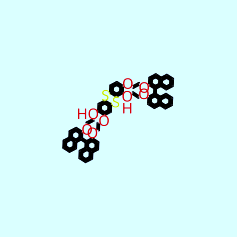 OCCOc1ccc2ccccc2c1-c1c(OCCOc2ccc3c(c2)Sc2cc(OCCOc4ccc5ccccc5c4-c4c(OCCO)ccc5ccccc45)ccc2S3)ccc2ccccc12